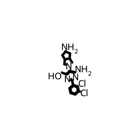 Nc1nc(-c2cccc(Cl)c2Cl)nc(CO)c1N1CC2CC(N)CC2C1